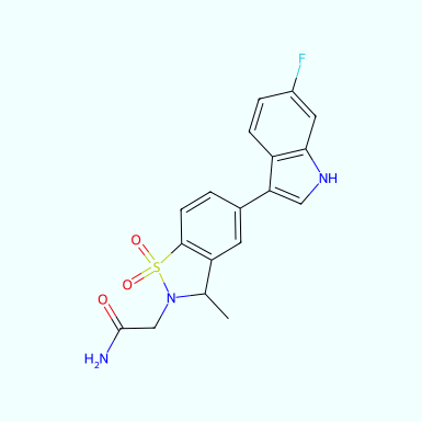 CC1c2cc(-c3c[nH]c4cc(F)ccc34)ccc2S(=O)(=O)N1CC(N)=O